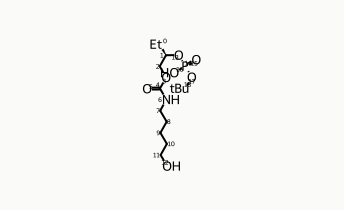 CC[C@H](COC(=O)NCCCCCO)OP(=O)(O)OC(C)(C)C